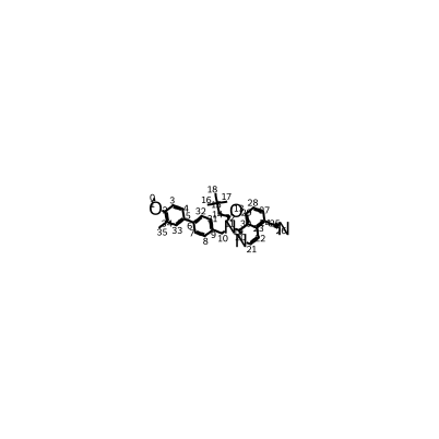 COc1ccc(-c2ccc(CN(C(=O)CC(C)(C)C)c3nccc4c(C#N)cccc34)cc2)cc1C